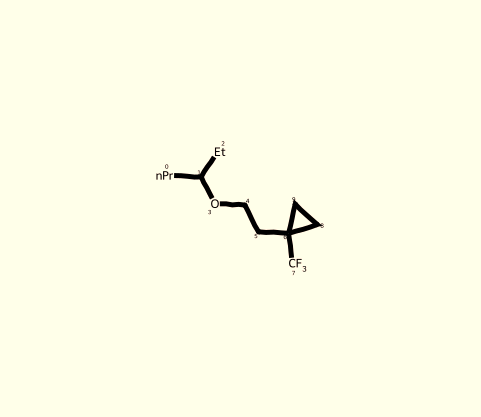 CCCC(CC)OCCC1(C(F)(F)F)CC1